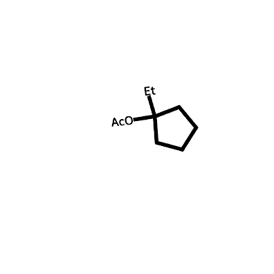 [CH2]C(=O)OC1(CC)CCCC1